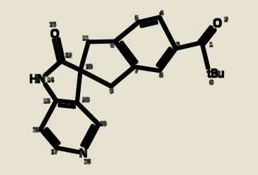 CC(C)(C)C(=O)c1ccc2c(c1)CC1(C2)C(=O)Nc2ccncc21